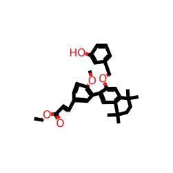 CCOC(=O)C=Cc1ccc(OC)c(-c2cc3c(cc2OCc2cccc(O)c2)C(C)(C)CCC3(C)C)c1